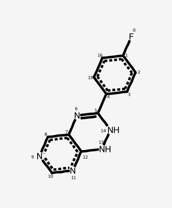 Fc1ccc(C2=Nc3cncnc3NN2)cc1